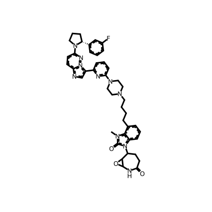 Cn1c(=O)n(C2CCC(=O)NC3OC32)c2cccc(CCCCN3CCN(c4cccc(-c5cnc6ccc(N7CCC[C@@H]7c7cccc(F)c7)nn56)n4)CC3)c21